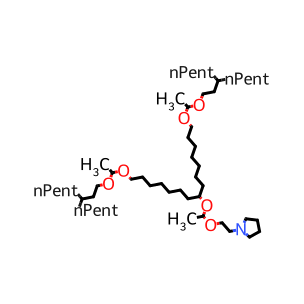 CCCCCC(CCCCC)CCOC(C)OCCCCCCCC(CCCCCCCOC(C)OCCC(CCCCC)CCCCC)OC(C)OCCN1CCCC1